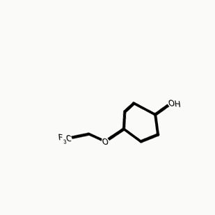 OC1CCC(OCC(F)(F)F)CC1